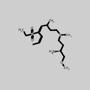 CCS(=O)(=O)C(/C=C\I)=C/C(C)CCN(C)CC[C@H](N)COC